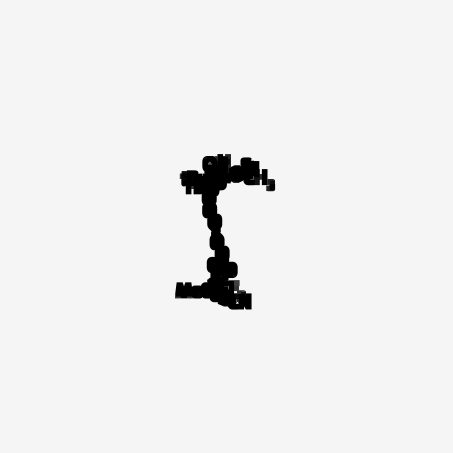 COc1cc(/C=C2\SC(=O)N(CCOCCOCCCCOCCOCCOCC(=O)N[C@H](C(=O)N3C[C@H](O)C[C@H]3C(=O)NCc3ccc(-c4scnc4C)cc3)C(C)(C)C)C2=O)ccc1Oc1ccc(C#N)cc1C(F)(F)F